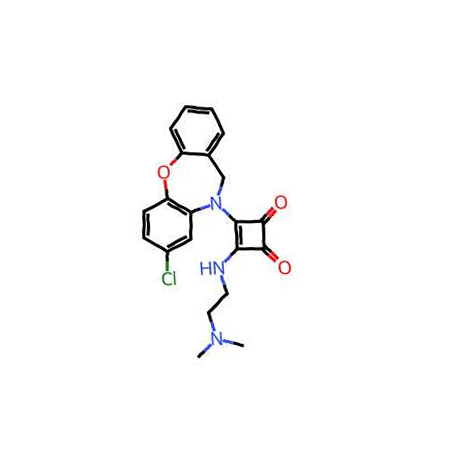 CN(C)CCNc1c(N2Cc3ccccc3Oc3ccc(Cl)cc32)c(=O)c1=O